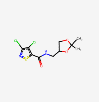 CC1(C)OCC(CNC(=O)c2snc(Cl)c2Cl)O1